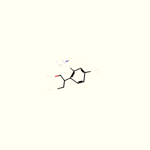 COc1ccc(C(CO)COC(C)=O)c(OC)c1.NC(=O)O